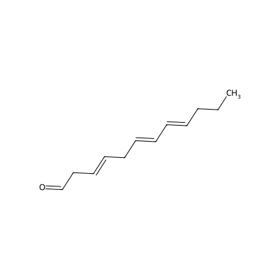 CCCC=CC=CCC=CCC=O